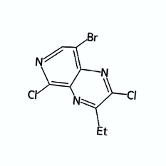 CCc1nc2c(Cl)ncc(Br)c2nc1Cl